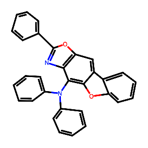 c1ccc(-c2nc3c(N(c4ccccc4)c4ccccc4)c4oc5ccccc5c4cc3o2)cc1